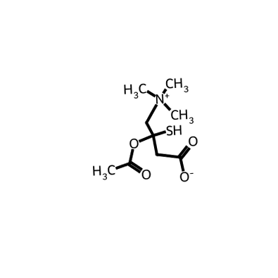 CC(=O)OC(S)(CC(=O)[O-])C[N+](C)(C)C